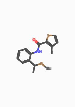 CCC(C)SC(C)c1ccccc1NC(=O)c1sccc1C